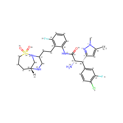 Cn1nc([C@H](c2ccc(Cl)c(F)c2)[C@H](N)C(=O)Nc2cccc(F)c2CCC2CN[C@@H]3CCCS(=O)(=O)N2C3)cc1C(F)(F)F